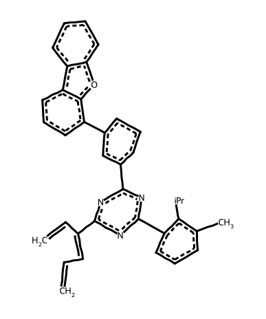 C=C/C=C(\C=C)c1nc(-c2cccc(-c3cccc4c3oc3ccccc34)c2)nc(-c2cccc(C)c2C(C)C)n1